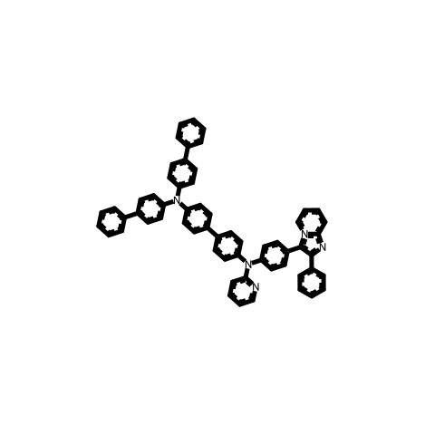 c1ccc(-c2ccc(N(c3ccc(-c4ccccc4)cc3)c3ccc(-c4ccc(N(c5ccc(-c6c(-c7ccccc7)nc7ccccn67)cc5)c5ccccn5)cc4)cc3)cc2)cc1